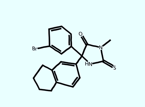 CN1C(=O)C(c2cccc(Br)c2)(c2ccc3c(c2)CCCC3)NC1=S